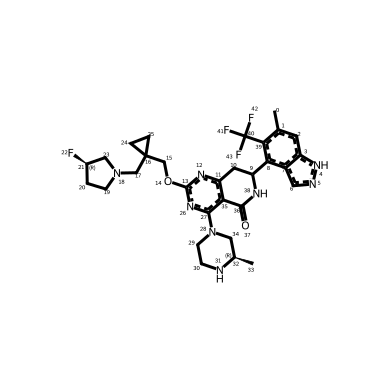 Cc1cc2[nH]ncc2c(C2Cc3nc(OCC4(CN5CC[C@@H](F)C5)CC4)nc(N4CCN[C@H](C)C4)c3C(=O)N2)c1C(F)(F)F